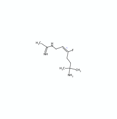 CC(=N)NC/C=C(/F)CCC(C)(C)N